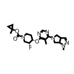 Cc1c(O[C@H]2CCN(C(=O)OC3(C)CC3)C[C@H]2F)ncnc1N1CC2C=NN(C)C2C1